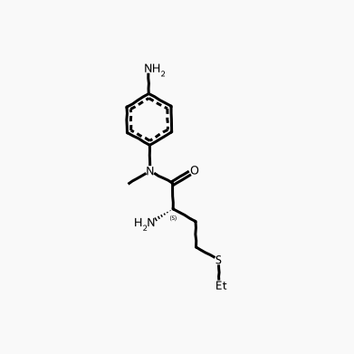 CCSCC[C@H](N)C(=O)N(C)c1ccc(N)cc1